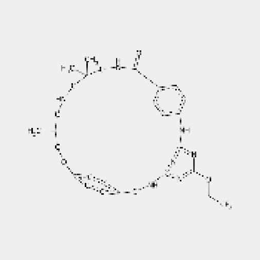 C=C1CNCC(C)(C)CNC(=O)c2ccc(cc2)Nc2nc(nc(OCC(F)(F)F)n2)NCc2ccc(cc2)OC1